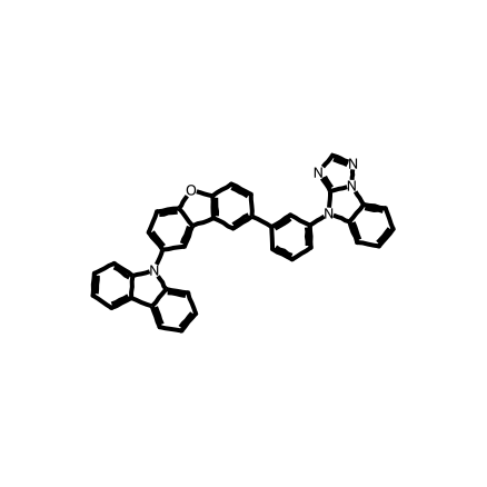 c1cc(-c2ccc3oc4ccc(-n5c6ccccc6c6ccccc65)cc4c3c2)cc(-n2c3ccccc3n3ncnc23)c1